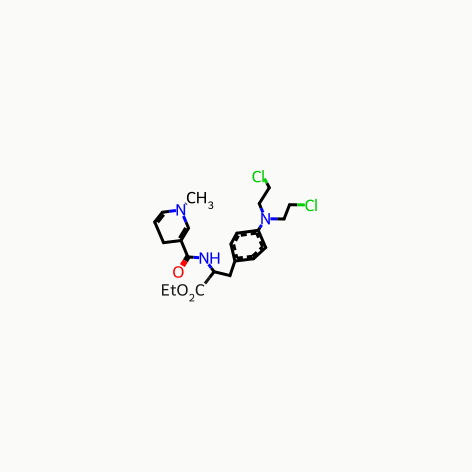 CCOC(=O)C(Cc1ccc(N(CCCl)CCCl)cc1)NC(=O)C1=CN(C)C=CC1